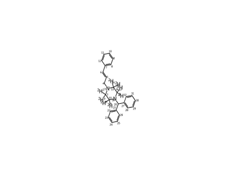 [2H]C1([2H])N(CC=Cc2ccccc2)C([2H])([2H])C([2H])([2H])N(C(c2ccccc2)c2ccccc2)C1([2H])[2H]